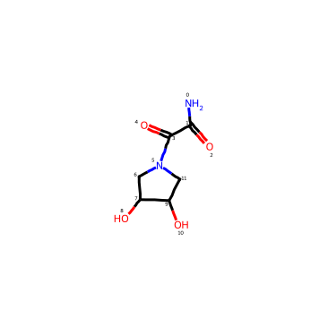 NC(=O)C(=O)N1CC(O)C(O)C1